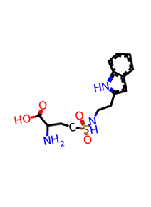 NC(CCS(=O)(=O)NCCc1cc2ccccc2[nH]1)C(=O)O